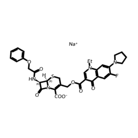 CCn1cc(C(=O)OCC2=C(C(=O)[O-])N3C(=O)[C@@H](NC(=O)COc4ccccc4)[C@H]3SC2)c(=O)c2cc(F)c(N3CCCC3)cc21.[Na+]